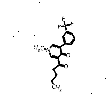 CCCCC(=O)c1cn(C)cc(-c2cccc(C(F)(F)F)c2)c1=O